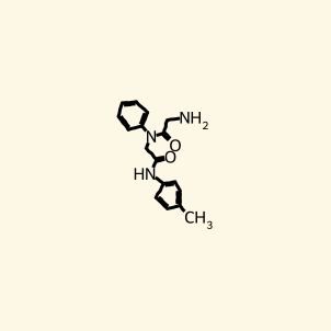 Cc1ccc(NC(=O)CN(C(=O)CN)c2ccccc2)cc1